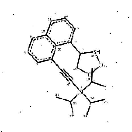 CC(C)[Si](C#Cc1cccc2cccc(C3BOOC3)c12)(C(C)C)C(C)C